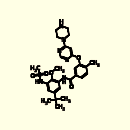 COc1c(NC(=O)c2ccc(C)c(Oc3cc(N4CCNCC4)ncn3)c2)cc(C(C)(C)C)cc1NS(C)(=O)=O